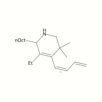 C=C/C=C\C1=C(CC)C(CCCCCCCC)NCC1(C)C